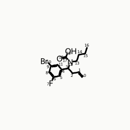 C=CCC(c1cc(F)cc(Br)c1)N(CCCC)C(=O)O